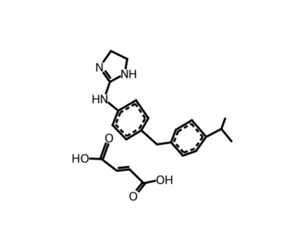 CC(C)c1ccc(Cc2ccc(NC3=NCCN3)cc2)cc1.O=C(O)C=CC(=O)O